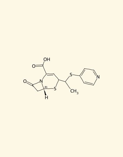 CC(Sc1ccncc1)C1C=C(C(=O)O)N2C(=O)C[C@H]2S1